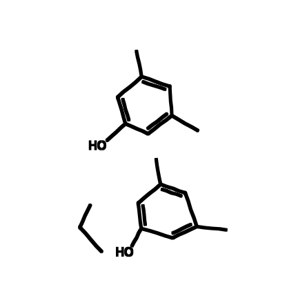 CCC.Cc1cc(C)cc(O)c1.Cc1cc(C)cc(O)c1